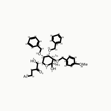 [2H][C@]1(O)O[C@H](C(O)C(=O)CCC(C)=O)[C@H](OCc2ccccc2)[C@H](OCc2ccccc2)[C@@]1(C)OCc1ccc(OC)cc1